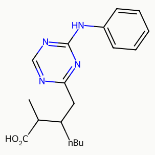 CCCCC(Cc1ncnc(Nc2ccccc2)n1)C(C)C(=O)O